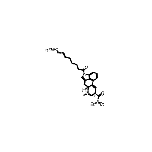 CCCCCCCCCCCCCCCCCC(=O)n1cc2c3c(cccc31)C1=C[C@@H](C(=O)N(CC)CC)CN(C)[C@@H]1C2